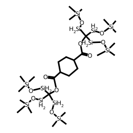 C[Si](C)(C)O[SiH2]C(OC(=O)C1CCC(C(=O)OC([SiH2]O[Si](C)(C)C)([SiH2]O[Si](C)(C)C)[SiH2]O[Si](C)(C)C)CC1)([SiH2]O[Si](C)(C)C)[SiH2]O[Si](C)(C)C